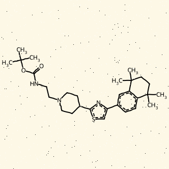 CC(C)(C)OC(=O)NCCN1CCC(c2nc(-c3ccc4c(c3)C(C)(C)CCC4(C)C)cs2)CC1